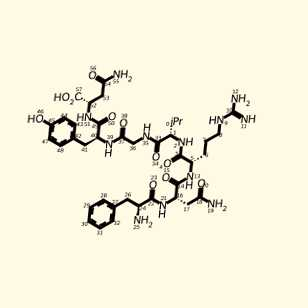 CC(C)[C@H](NC(=O)[C@H](CCCNC(=N)N)NC(=O)[C@H](CC(N)=O)NC(=O)[C@@H](N)Cc1ccccc1)C(=O)NCC(=O)N[C@@H](Cc1ccc(O)cc1)C(=O)N[C@@H](CC(N)=O)C(=O)O